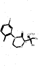 Cc1ccc(F)cc1N1CCO[C@H]([C@@](O)(C(=O)O)C(C)(C)C)C1=O